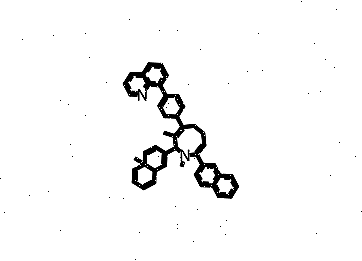 C/C1=C(\C2C=CC(c3cccc4cccnc34)=CC2)CCC=C(c2ccc3ccccc3c2)N(C)C1C1=CC2C=CC=CC2(C)C=C1